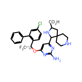 Nc1nc(O[C@@H](c2ccc(Cl)cc2-c2ccccc2)C(F)(F)F)cc(C2NC(C(=O)O)CC23CCNCC3)n1